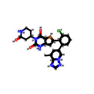 Cc1cc(-c2cccc(Cl)c2-c2cc3[nH]c(=O)n(C4CCNC(=O)C4)c(=O)c3s2)cn2ncnc12